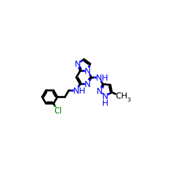 Cc1cc(Nc2nc(NCCc3ccccc3Cl)cc3nccn23)n[nH]1